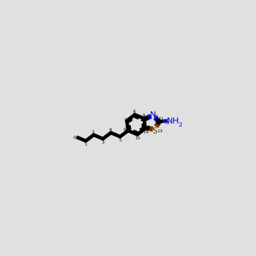 CCCCCCc1ccc2nc(N)sc2c1